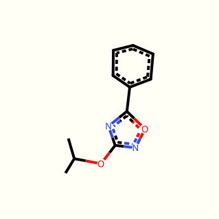 CC(C)Oc1noc(-c2ccccc2)n1